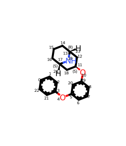 c1ccc(Oc2cccc(O[C@@H]3C[C@H]4CCC[C@@H](C3)N4)c2)cc1